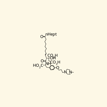 CCCCCCCC(=O)CCCCCC/C=C/[C@H](C(=O)N[C@@H](Cc1ccc(OCCCN2CCN(C)CC2)cc1)C(=O)O)[C@@](O)(CC(=O)O)C(=O)O